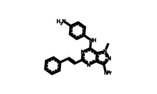 CCCc1nn(C)c2c(Nc3ccc(N)cc3)nc(C=Cc3ccccc3)nc12